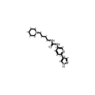 O=C(NCCCCN1CCCCC1)Nc1ccc(-c2cn[nH]c2)nc1